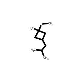 COC1(C)CC(CC(C)C)C1